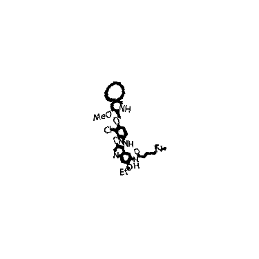 CCOc1cc2ncc(C#N)c(Nc3ccc(OCC4NCC5(CCCCCCCCC5)CC4OC)c(Cl)c3)c2cc1NC(=O)CCCN(C)C